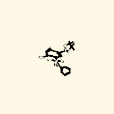 CC1(C)OB(c2ccc(Cl)c(S(=O)(=O)Nc3ccccc3)c2)OC1(C)C